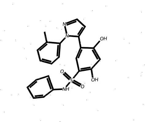 Cc1ccccc1-n1nccc1-c1cc(S(=O)(=O)Nc2ccccc2)c(O)cc1O